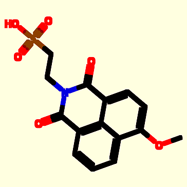 COc1ccc2c3c(cccc13)C(=O)N(CCS(=O)(=O)O)C2=O